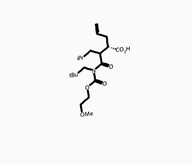 C=CC[C@H](C(=O)O)C(CC(C)C)C(=O)N(CC(C)(C)C)C(=O)OCCOC